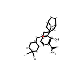 NC(=O)c1cccc(C2CC3CCC(C2)N3CCNCC2CCC(F)(F)CC2)c1O